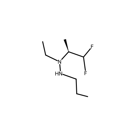 CCCNN(CC)[C@@H](C)C(F)F